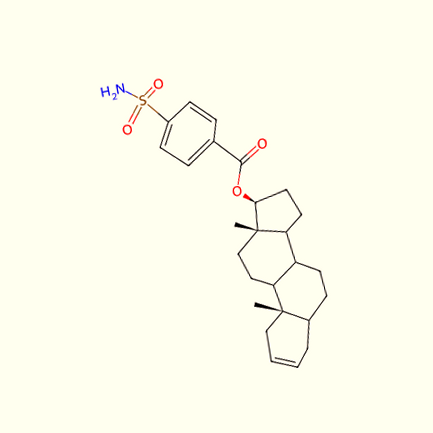 C[C@]12CC=CCC1CCC1C2CC[C@@]2(C)C1CC[C@@H]2OC(=O)c1ccc(S(N)(=O)=O)cc1